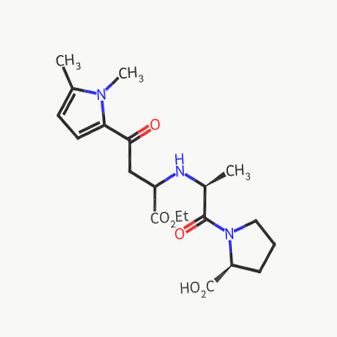 CCOC(=O)C(CC(=O)c1ccc(C)n1C)N[C@@H](C)C(=O)N1CCC[C@H]1C(=O)O